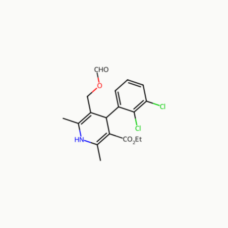 CCOC(=O)C1=C(C)NC(C)=C(COC=O)C1c1cccc(Cl)c1Cl